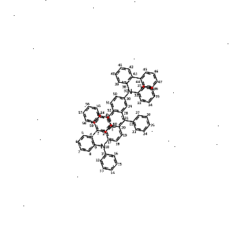 c1ccc(-c2ccccc2N(c2ccccc2)c2ccc3c(-c4ccccc4)c4cc(N(c5ccccc5)c5ccccc5-c5ccccc5)ccc4c(-c4ccccc4)c3c2)cc1